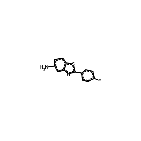 Nc1ccc2sc(-c3ccc(F)cc3)nc2c1